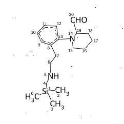 C[Si](C)(C)CNCCc1ccccc1N1CCCCC1C=O